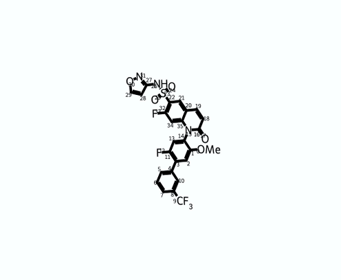 COc1cc(-c2cccc(C(F)(F)F)c2)c(F)cc1-n1c(=O)ccc2cc(S(=O)(=O)Nc3ccon3)c(F)cc21